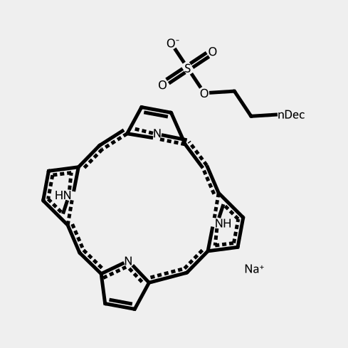 C1=Cc2cc3ccc(cc4nc(cc5ccc(cc1n2)[nH]5)C=C4)[nH]3.CCCCCCCCCCCCOS(=O)(=O)[O-].[Na+]